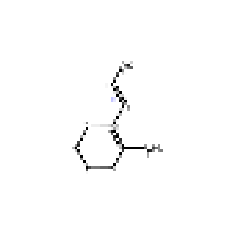 CC(=O)/C=C/C1=C(C)CCCC1